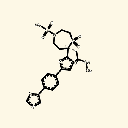 CCCS(=O)(=O)N1CC[C@](CC(=O)NO)(c2ccc(-c3ccc(-c4cnco4)cc3)s2)S(=O)(=O)CC1